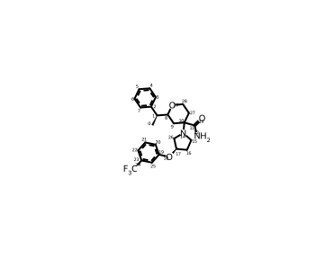 C[C@@H](c1ccccc1)C1CC(C(N)=O)(N2CC[C@@H](Oc3cccc(C(F)(F)F)c3)C2)CCO1